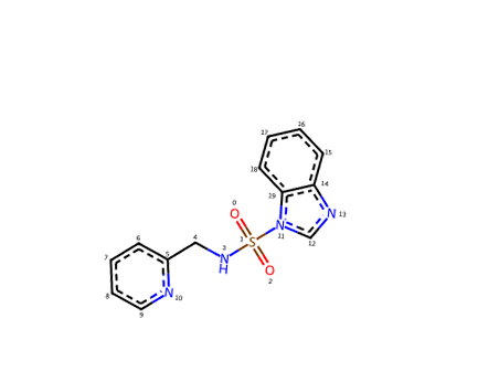 O=S(=O)(NCc1ccccn1)n1cnc2ccccc21